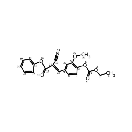 CCOC(=O)Oc1ccc(/C=C(\C#N)C(=O)Oc2ccccc2)cc1OC